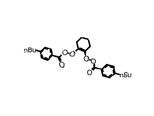 CCCCc1ccc(C(=O)OOC2=C(OOC(=O)c3ccc(CCCC)cc3)CCCC2)cc1